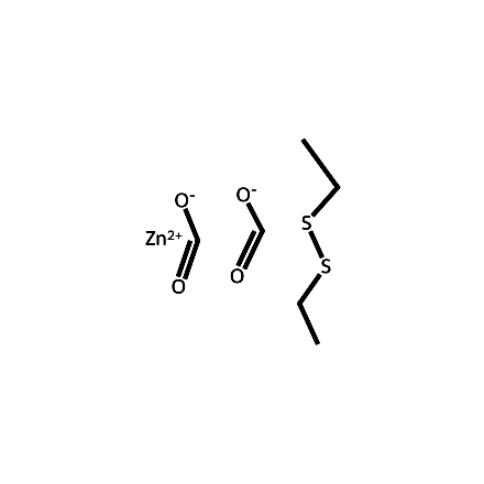 CCSSCC.O=C[O-].O=C[O-].[Zn+2]